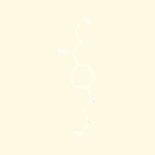 CCOC(=O)c1ccc(NS[N]C)cc1